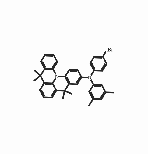 Cc1cc(C)cc(N(c2ccc(C(C)(C)C)cc2)c2ccc3c(c2)C(C)(C)c2cccc4c2N3c2ccccc2C4(C)C)c1